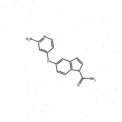 NC(=O)n1ccc2cc(Oc3ccnc(N)c3)ccc21